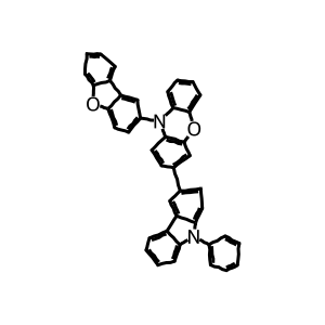 c1ccc(-n2c3ccccc3c3cc(-c4ccc5c(c4)Oc4ccccc4N5c4ccc5oc6ccccc6c5c4)ccc32)cc1